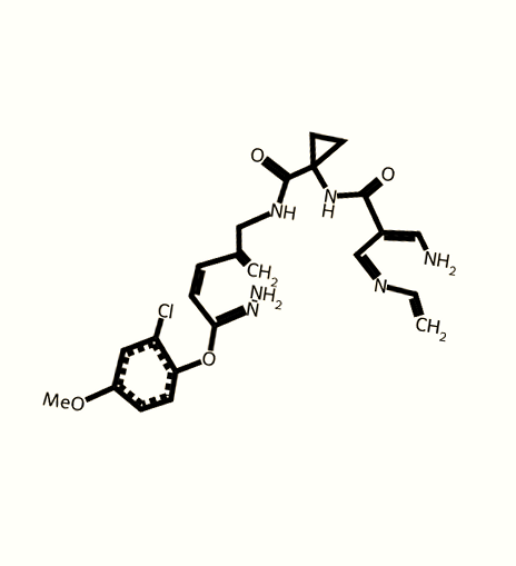 C=C/N=C\C(=C/N)C(=O)NC1(C(=O)NCC(=C)/C=C\C(=N/N)Oc2ccc(OC)cc2Cl)CC1